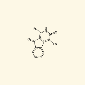 CC(C)c1[nH]c(=O)c(C#N)c2c1C(=O)c1ccccc1-2